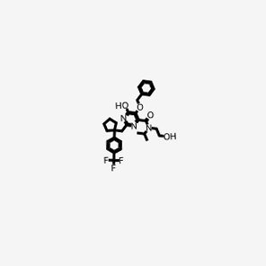 CC(C)N(CCO)C(=O)c1nc(CC2(c3ccc(C(F)(F)F)cc3)CCCC2)nc(O)c1OCc1ccccc1